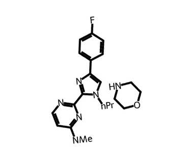 C1COCCN1.CCCn1cc(-c2ccc(F)cc2)nc1-c1nccc(NC)n1